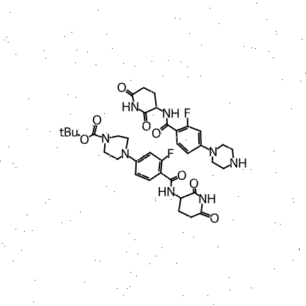 CC(C)(C)OC(=O)N1CCN(c2ccc(C(=O)NC3CCC(=O)NC3=O)c(F)c2)CC1.O=C1CCC(NC(=O)c2ccc(N3CCNCC3)cc2F)C(=O)N1